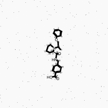 CC(COc1ccccc1)N1CCCC[C@@H]1C(=O)NCc1ccc(C(=O)O)cc1